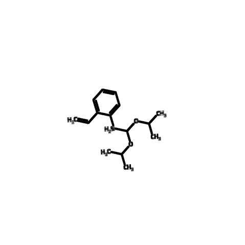 C=Cc1ccccc1[SiH2]C(OC(C)C)OC(C)C